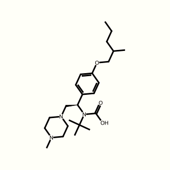 CCCC(C)COc1ccc([C@H](CN2CCN(C)CC2)N(C(=O)O)C(C)(C)C)cc1